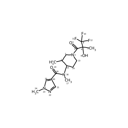 CC1CN(C(=O)C(C)(O)C(F)(F)F)CCC1N(C)C(=O)c1cnn(C)c1